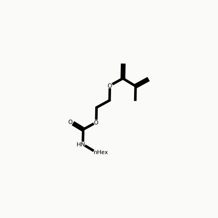 C=C(C)C(=C)OCCOC(=O)NCCCCCC